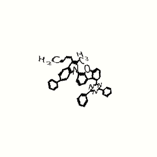 C=C/C=C\c1c(C)n(-c2cccc3c2oc2cccc(-c4nc(-c5ccccc5)nc(-c5ccccc5)n4)c23)c2cc(-c3ccccc3)ccc12